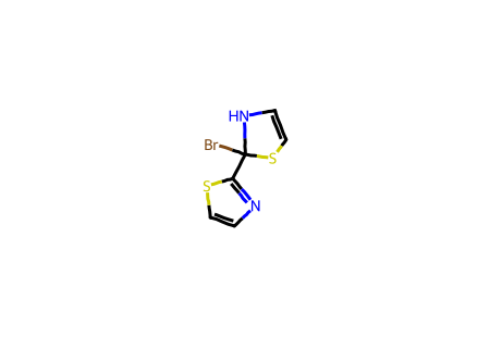 BrC1(c2nccs2)NC=CS1